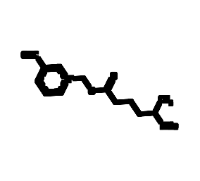 CNC(C)CCCC(=O)OC[n+]1cccc(C=O)c1